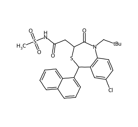 CC(C)(C)CN1C(=O)C(CC(=O)NS(C)(=O)=O)SC(c2cccc3ccccc23)c2cc(Cl)ccc21